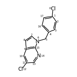 Clc1ccc(Cn2ccc3cc(Cl)cnc32)cc1